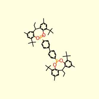 CCC1c2cc(C)cc(C(C)(C)C)c2OP(c2ccc(-c3ccc(P4Oc5c(cc(C)cc5C(C)(C)C)C(CC)c5cc(C)cc(C(C)(C)C)c5O4)cc3)cc2)Oc2c1cc(C)cc2C(C)(C)C